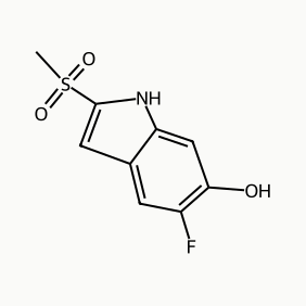 CS(=O)(=O)c1cc2cc(F)c(O)cc2[nH]1